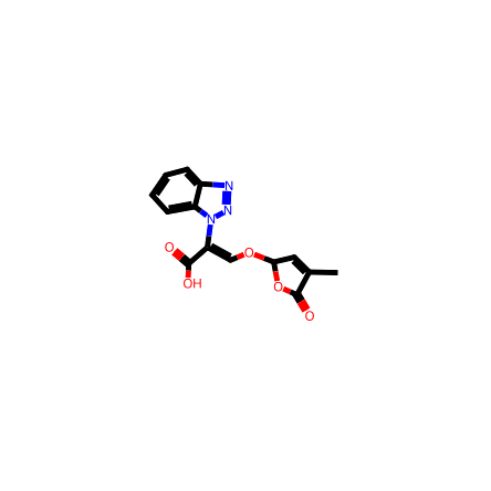 CC1=CC(O/C=C(/C(=O)O)n2nnc3ccccc32)OC1=O